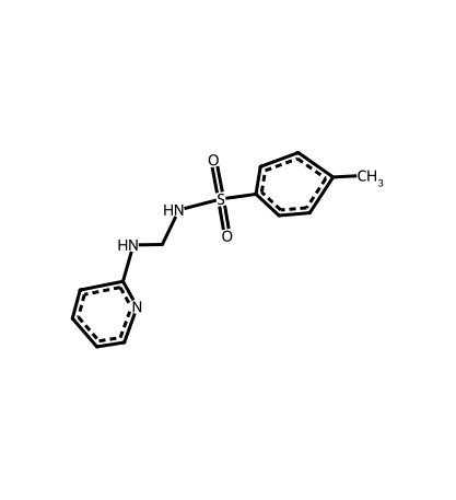 Cc1ccc(S(=O)(=O)NCNc2ccccn2)cc1